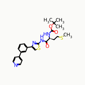 CSCC[C@H](NC(=O)OC(C)(C)C)C(=O)Nc1nc(-c2cccc(-c3ccncc3)c2)cs1